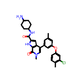 Cc1cc(Oc2ccc(C)c(Cl)c2)cc(-c2cn(C)c(=O)c3[nH]c(C(=O)NC4CCC(N)CC4)cc23)c1